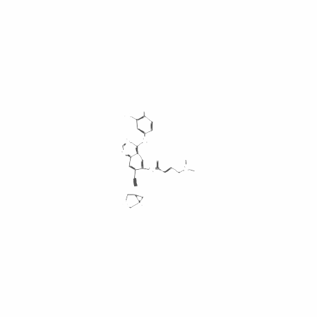 CN(C)C/C=C/C(=O)Nc1cc2c(Nc3ccc(F)c(Cl)c3)ncnc2cc1C#C[C@@]12COC[C@H]1C2